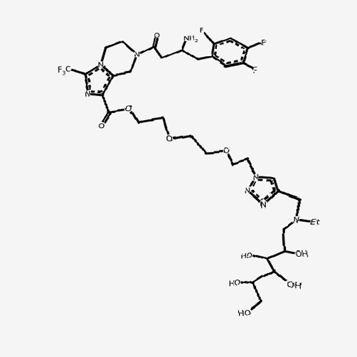 CCN(Cc1cn(CCOCCOCCOC(=O)c2nc(C(F)(F)F)n3c2CN(C(=O)CC(N)Cc2cc(F)c(F)cc2F)CC3)nn1)CC(O)C(O)C(O)C(O)CO